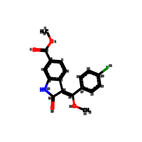 COC(=O)c1ccc2c(c1)NC(=O)/C2=C(\OC)c1ccc(F)cc1